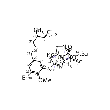 C=CC1=C(C(C)=O)\C=N/C/C(N(C)C(=O)OC(C)(C)C)=C/C(Nc2cc(COC[C@@H](C)C=C)cc(Br)c2OC)=N\1